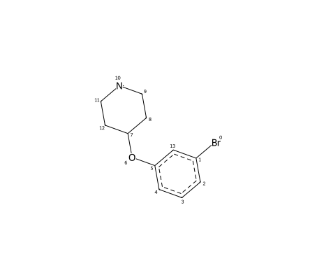 Brc1cccc(OC2CC[N]CC2)c1